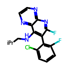 CC(C)CNc1c(-c2c(F)cccc2Cl)c(F)nc2nccnc12